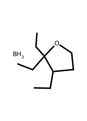 B.CCC1CCOC1(CC)CC